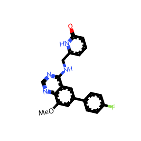 COc1cc(-c2ccc(F)cc2)cc2c(NCc3cccc(=O)[nH]3)ncnc12